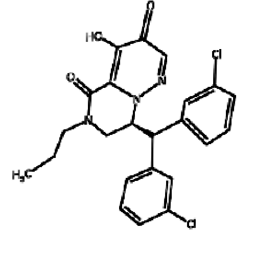 CCCN1C[C@H](C(c2cccc(Cl)c2)c2cccc(Cl)c2)n2ncc(=O)c(O)c2C1=O